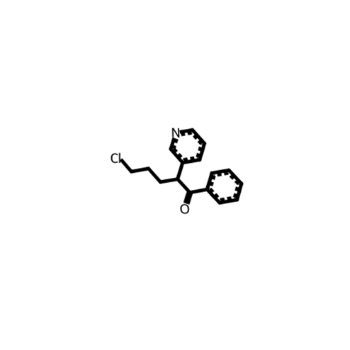 O=C(c1ccccc1)C(CCCCl)c1cccnc1